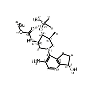 C[C@H]1CN(c2c(N)cnc3c2CC[C@H]3O)C[C@@H](NC(=O)OC(C)(C)C)[C@@H]1O[Si](C)(C)C(C)(C)C